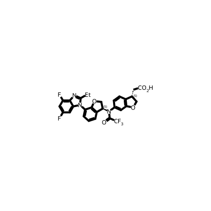 CCc1nc2c(F)cc(F)cc2n1-c1cccc2c1OC[C@H]2N(C(=O)C(F)(F)F)c1ccc2c(c1)OC[C@H]2CC(=O)O